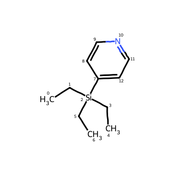 CC[Si](CC)(CC)c1ccncc1